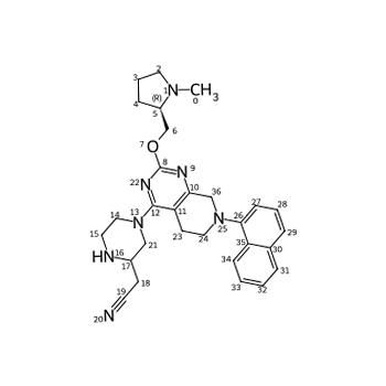 CN1CCC[C@@H]1COc1nc2c(c(N3CCNC(CC#N)C3)n1)CCN(c1cccc3ccccc13)C2